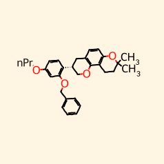 CCCOc1ccc([C@H]2COc3c(ccc4c3CCC(C)(C)O4)C2)c(OCc2ccccc2)c1